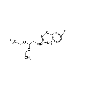 CCOC(CNC1=NSc2cc(F)ccc2N1)OCC